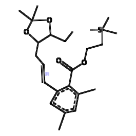 CCC1OC(C)(C)OC1C/C=C/c1cc(C)cc(C)c1C(=O)OCC[Si](C)(C)C